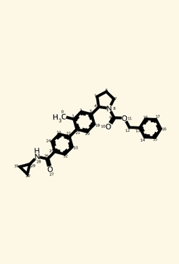 Cc1cc(C2CCCN2C(=O)OCc2ccccc2)ccc1-c1ccc(C(=O)NC2CC2)cc1